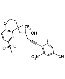 Cc1cc(C#N)cc([N+](=O)[O-])c1C#CCC(O)(CC1(C)CCOc2ccc(S(C)(=O)=O)cc21)C(F)(F)F